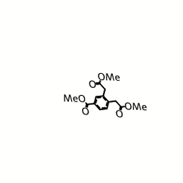 COC(=O)Cc1ccc(C(=O)OC)cc1CC(=O)OC